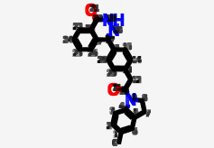 Cc1ccc2c(c1)CCN2C(=O)Cc1ccc(-c2n[nH]c(=O)c3ccccc23)cc1